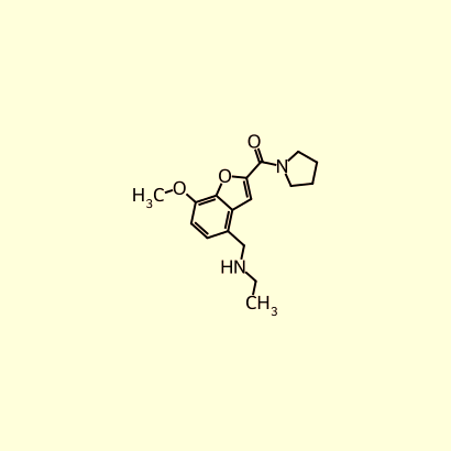 CCNCc1ccc(OC)c2oc(C(=O)N3CCCC3)cc12